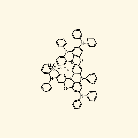 C[Si]1(C)c2ccccc2N(c2ccccc2)c2cc3c(cc21)B1c2cc4c(cc2N(c2ccccc2)c2cc(N(c5ccccc5)c5ccccc5)cc(c21)O3)Oc1cc(N(c2ccccc2)c2ccccc2)cc2c1B4c1ccccc1N2c1ccccc1